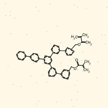 C=C(C)C(=C)OCc1cccc(-c2cccc(-c3cc(-c4ccc(-c5ccccc5)cc4)cc(-c4cccc(-c5cccc(COC(=O)C(=C)C)c5)c4)c3)c2)c1